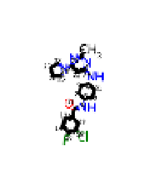 Cc1nc(N[C@H]2CC[C@@H](NC(=O)c3ccc(F)c(Cl)c3)CC2)cc(N2CCCC2)n1